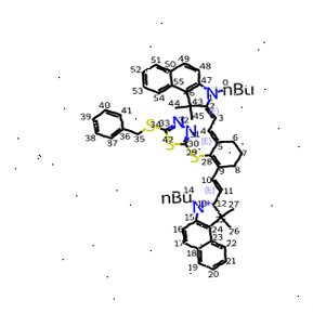 CCCCN1/C(=C/C=C2\CCCC(/C=C/C3=[N+](CCCC)c4ccc5ccccc5c4C3(C)C)=C2Sc2nnc(SCc3ccccc3)s2)C(C)(C)c2c1ccc1ccccc21